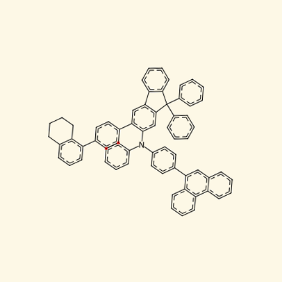 c1ccc(N(c2ccc(-c3cc4ccccc4c4ccccc34)cc2)c2cc3c(cc2-c2ccc(-c4cccc5c4CCCC5)cc2)-c2ccccc2C3(c2ccccc2)c2ccccc2)cc1